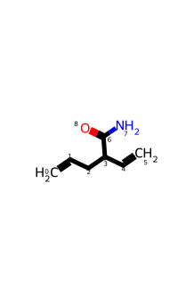 C=CC[C](C=C)C(N)=O